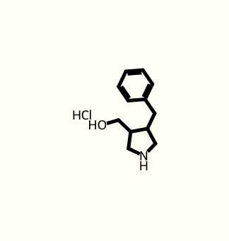 Cl.OCC1CNCC1Cc1ccccc1